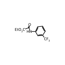 CCOC(=O)C(=O)Nc1cccc(C(F)(F)F)c1